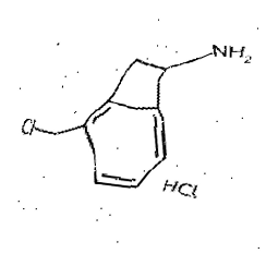 Cl.NC1Cc2c(Cl)cccc21